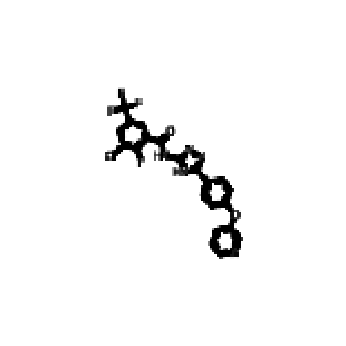 O=C(Nc1nnc(-c2ccc(Oc3cccnc3)cc2)[nH]1)c1cc(C(F)(F)F)cc(Cl)c1F